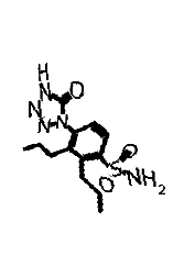 CCCc1c(-n2nn[nH]c2=O)ccc(S(N)(=O)=O)c1CCC